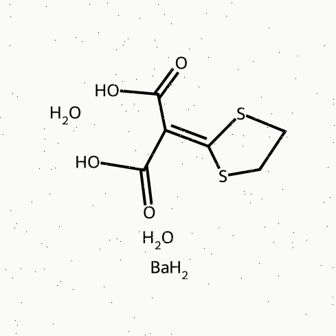 O.O.O=C(O)C(C(=O)O)=C1SCCS1.[BaH2]